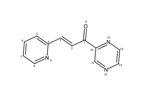 O=C(C=Cc1ccccn1)c1cnccn1